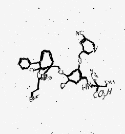 CC(CO)(NCc1cc(Cl)c(OCC2(OCCCBr)C=CC=C(c3ccccc3)C2(C)Cl)cc1OCc1cncc(C#N)c1)C(=O)O